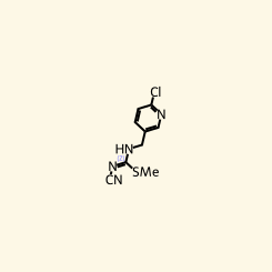 CS/C(=N\C#N)NCc1ccc(Cl)nc1